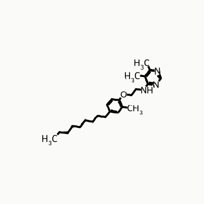 CCCCCCCCCc1ccc(OCCNc2ncnc(C)c2C)c(C)c1